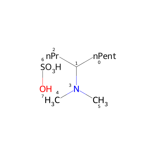 CCCCCC(CCC)N(C)C.O=S(=O)(O)O